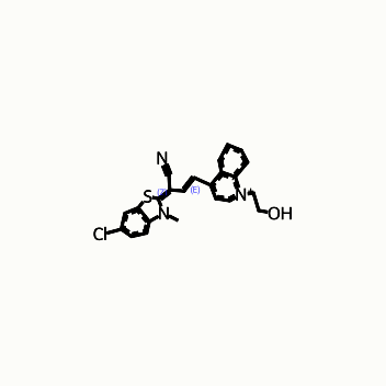 CN1/C(=C(C#N)\C=C\c2cc[n+](CCO)c3ccccc23)Sc2cc(Cl)ccc21